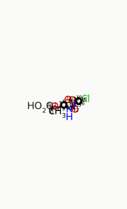 C[C@H](OCc1ccc2c(c1)NC(=O)N(c1ccc(Cl)cc1)S2(=O)=O)C(=O)O